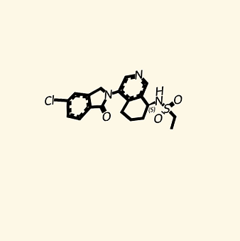 CCS(=O)(=O)N[C@H]1CCCc2c1cncc2N1Cc2cc(Cl)ccc2C1=O